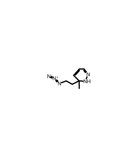 CC1(CCN=[N+]=[N-])C=CC=NN1